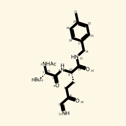 CCCC[C@H](NC(C)=O)C(=O)N[C@@H](CCC(=O)C=N)C(=O)NCc1ccc(C)cc1